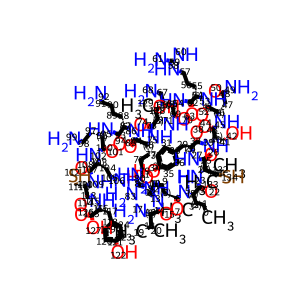 CC[C@H](C)[C@H](NC(=O)[C@@H]1C[C@@H](O)CN1C(=O)[C@@H](N)C(C)C)C(=O)N[C@H](C(=O)N[C@@H](Cc1ccc(O)cc1)C(=O)N[C@@H](CO)C(=O)N[C@@H](CC(N)=O)C(=O)N[C@@H](CCCNC(=N)N)C(=O)N[C@@H](CCN)C(=O)N[C@H](C(=O)N[C@H](CCCNC(=N)N)C(=O)N[C@@H](CCCCN)C(=O)N[C@@H](CCN)C(=O)N[C@@H](CCN)C(=O)N[C@@H](CS)C(=O)N[C@@H](Cc1ccc(O)cc1)C(=O)O)[C@@H](C)O)C(C)(C)S